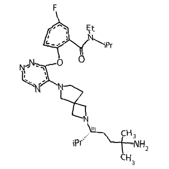 CCN(C(=O)c1cc(F)ccc1Oc1nncnc1N1CCC2(C1)CN([C@H](CCC(C)(C)N)C(C)C)C2)C(C)C